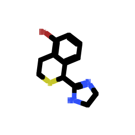 Brc1cccc2c1CCSC2C1=NCCN1